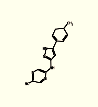 CC1C=CC(c2cc(Nc3cnc(C#N)cn3)n[nH]2)=CC1